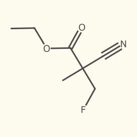 CCOC(=O)C(C)(C#N)CF